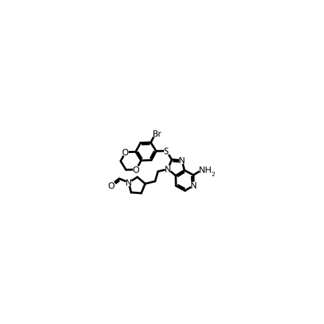 Nc1nccc2c1nc(Sc1cc3c(cc1Br)OCCO3)n2CCC1CCN(C=O)C1